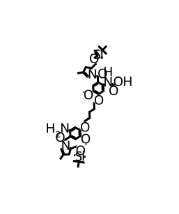 COc1cc(C(=O)N2C=C(C)CC2CO[Si](C)(C)C(C)(C)C)c(N)cc1OCCCCCOc1cc(NC(=O)O)c(C(=O)N2C=C(C)CC2CO[Si](C)(C)C(C)(C)C)cc1OC